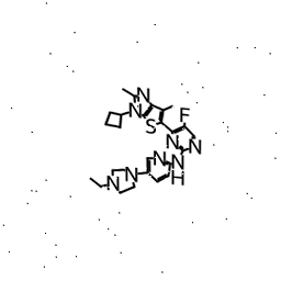 CCN1CCN(c2ccc(Nc3ncc(F)c(-c4sc5c(nc(C)n5C5CCC5)c4C)n3)nc2)CC1